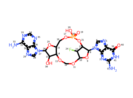 Nc1nc2c(ncn2C2OC3OCOC4C(COP(=O)(O)OC2C3F)OC(n2cnc3c(N)ncnc32)C4O)c(=O)[nH]1